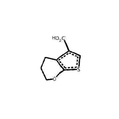 O=C(O)c1csc2c1CCCO2